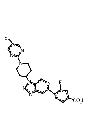 CCc1cnc(N2CCC(n3nnc4cc(-c5ccc(C(=O)O)cc5F)ncc43)CC2)nc1